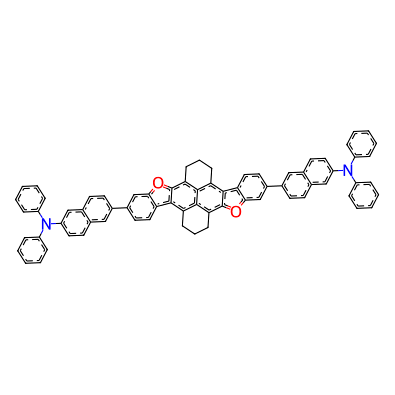 c1ccc(N(c2ccccc2)c2ccc3cc(-c4ccc5c(c4)oc4c6c7c(c8c(oc9cc(-c%10ccc%11cc(N(c%12ccccc%12)c%12ccccc%12)ccc%11c%10)ccc98)c8c7c(c45)CCC8)CCC6)ccc3c2)cc1